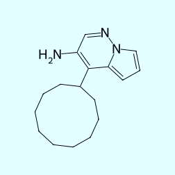 Nc1cnn2cccc2c1C1CCCCCCCCC1